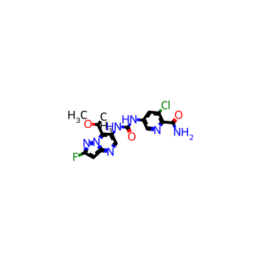 COC(C)c1c(NC(=O)Nc2cnc(C(N)=O)c(Cl)c2)cnc2cc(F)nn12